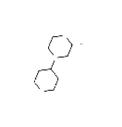 CC[C@@H]1CN(C2CCOCC2)CCO1